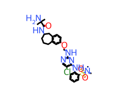 CN(C)S(=O)(=O)c1ccccc1Nc1nc(NCOc2ccc3c(c2)CCCC(NC(=O)C(C)(C)N)C3)ncc1Cl